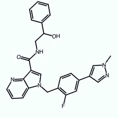 Cn1cc(-c2ccc(Cn3cc(C(=O)NCC(O)c4ccccc4)c4ncccc43)c(F)c2)cn1